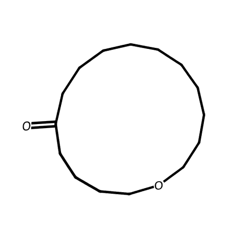 O=C1CCCCCCCCCCOCCCC1